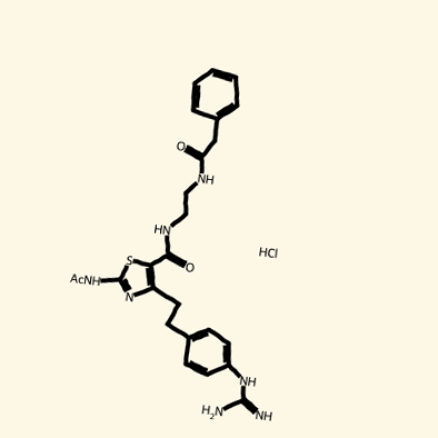 CC(=O)Nc1nc(CCc2ccc(NC(=N)N)cc2)c(C(=O)NCCNC(=O)Cc2ccccc2)s1.Cl